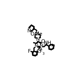 COc1ncccc1CN1CCN(c2c(C)n(Cc3c(F)cccc3C(F)(F)F)c(=O)n(C[C@@H](N)c3ccccc3)c2=O)CC1